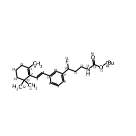 CC1=C(/C=C/c2cccc(C(F)CCNC(=O)OC(C)(C)C)c2)C(C)(C)CCC1